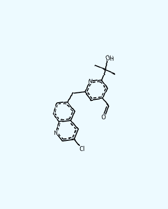 CC(C)(O)c1cc(C=O)cc(Cc2ccc3ncc(Cl)cc3c2)n1